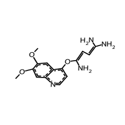 COc1cc2nccc(O/C(N)=C/C=C(N)N)c2cc1OC